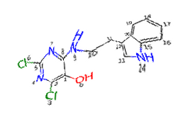 Oc1c(Cl)nc(Cl)nc1NCCc1c[nH]c2ccccc12